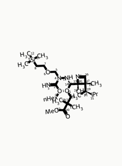 CCCCCCOC(=N)N(COCC[Si](C)(C)C)N[C@@H](OCC(C)(C)C(=O)OC)[C@]1(C)N=C[C@]1(C)[C@H](C)C(C)C